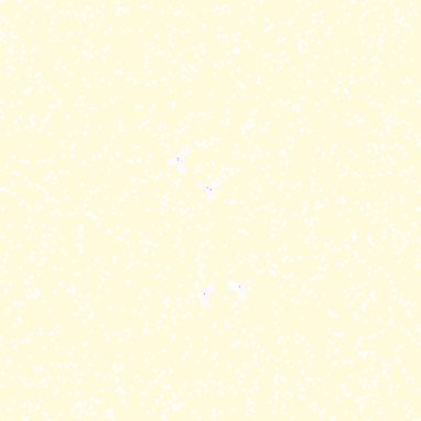 c1ccc2c(c1)Oc1cccc3nc(-c4ccc(N5c6ccccc6-c6cc7ccccc7cc6-n6c5cc5ccccc56)cc4)nc-2c13